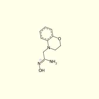 N/C(CN1CCOc2ccccc21)=N\O